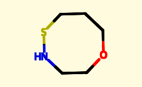 C1COCCNSC1